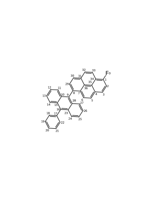 Fc1ccc2ccc3c(-c4c5ccccc5c(-c5ccccc5)c5ccccc45)ccc4ccc1c2c43